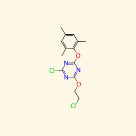 Cc1cc(C)c(Oc2nc(Cl)nc(OCCCl)n2)c(C)c1